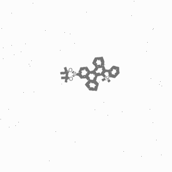 CC1(C)OB(c2ccc3c(c2)c2ccccc2c2c4c(c5ccccc5c32)-c2ccccc2[Si]4(C)C)OC1(C)C